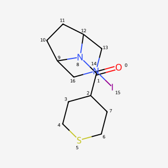 O=C(C1CCSCC1)N1C2CCC1CN(I)C2